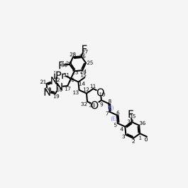 Cc1ccc(/C=C/C=C/C2OCC(CC(C)C(Cn3cncn3)(c3ccc(F)cc3F)C(C)C)CO2)c(F)c1